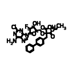 CCOC(=O)C(Cc1ccc(-c2ccccc2)cc1)(OC[C@H]1O[C@@H](n2cnc3c(N)nc(Cl)nc32)[C@@H](F)[C@@H]1O)C(=O)O